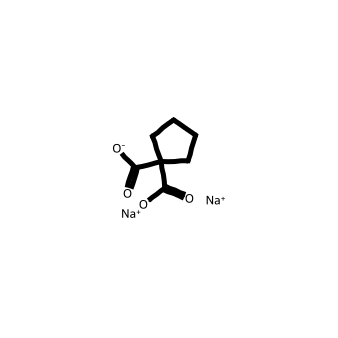 O=C([O-])C1(C(=O)[O-])CCCC1.[Na+].[Na+]